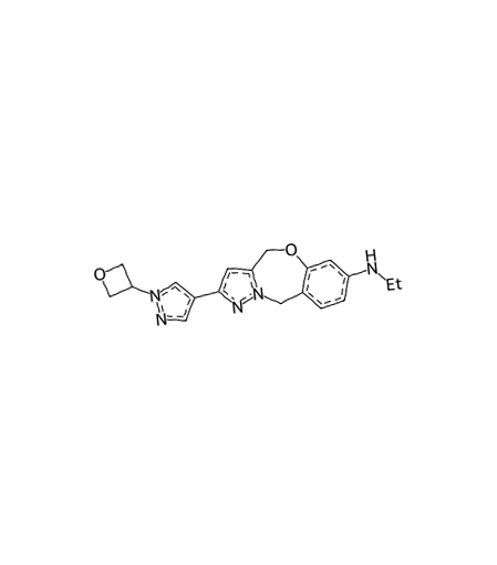 CCNc1ccc2c(c1)OCc1cc(-c3cnn(C4COC4)c3)nn1C2